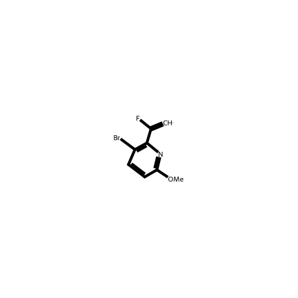 [CH]=C(F)c1nc(OC)ccc1Br